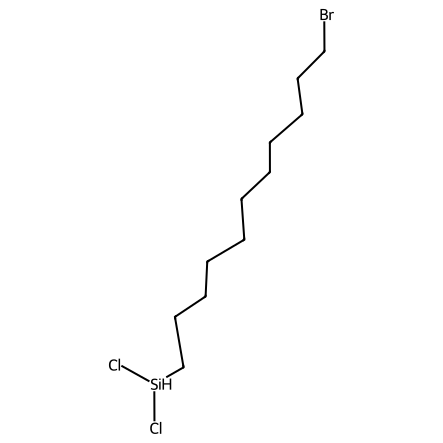 Cl[SiH](Cl)CCCCCCCCCCCBr